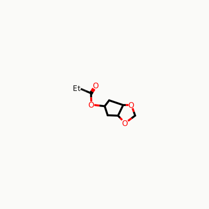 CCC(=O)OC1CC2OCOC2C1